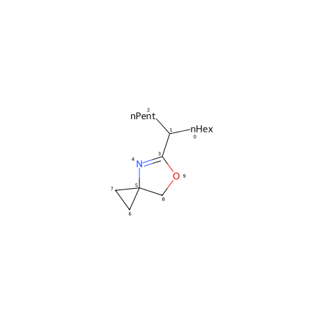 CCCCCCC(CCCCC)C1=NC2(CC2)CO1